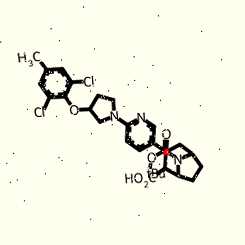 Cc1cc(Cl)c(OC2CCN(c3ccc(C4CC5CCC(C4C(=O)O)N5C(=O)OC(C)(C)C)cn3)C2)c(Cl)c1